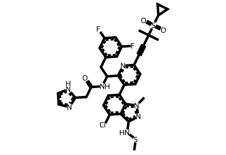 CSNc1nn(C)c2c(-c3ccc(C#CC(C)(C)S(=O)(=O)C4CC4)nc3C(Cc3cc(F)cc(F)c3)NC(=O)Cc3ncc[nH]3)ccc(Cl)c12